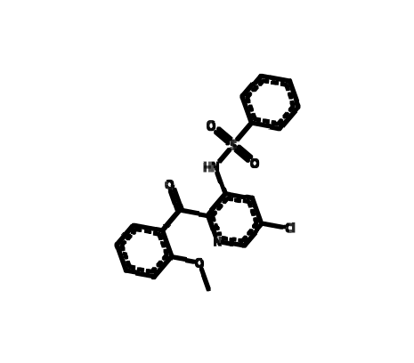 COc1ccccc1C(=O)c1ncc(Cl)cc1NS(=O)(=O)c1ccccc1